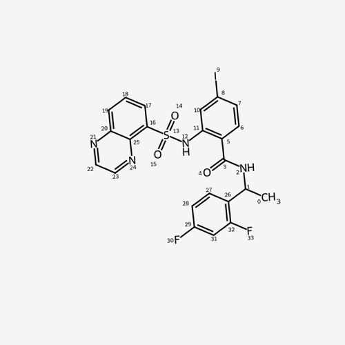 CC(NC(=O)c1ccc(I)cc1NS(=O)(=O)c1cccc2nccnc12)c1ccc(F)cc1F